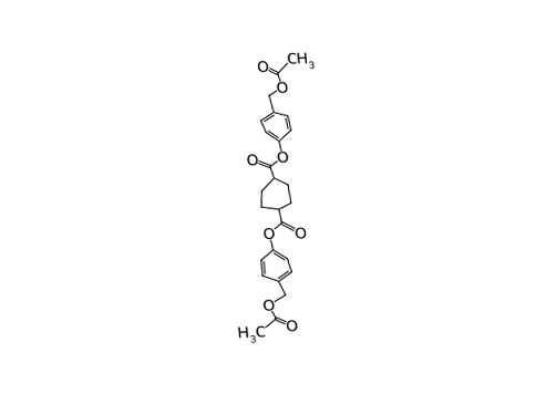 CC(=O)OCc1ccc(OC(=O)C2CCC(C(=O)Oc3ccc(COC(C)=O)cc3)CC2)cc1